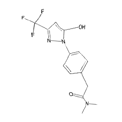 CN(C)C(=O)Cc1ccc(-n2nc(C(F)(F)F)cc2O)cc1